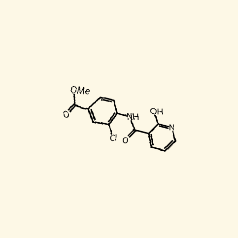 COC(=O)c1ccc(NC(=O)c2cccnc2O)c(Cl)c1